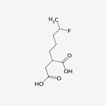 CC(F)CCCC(CC(=O)O)C(=O)O